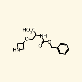 O=C(NC(COC1CNC1)C(=O)O)OCc1ccccc1